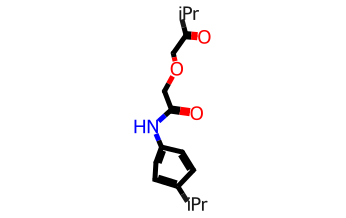 CC(C)C(=O)COCC(=O)Nc1ccc(C(C)C)cc1